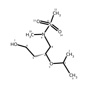 CC(C)O[C@H](CCO)CN(C)S(C)(=O)=O